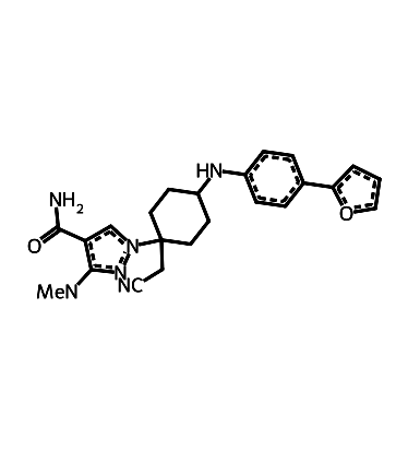 CNc1nn(C2(CC#N)CCC(Nc3ccc(-c4ccco4)cc3)CC2)cc1C(N)=O